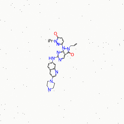 C=CCn1c(=O)c2cnc(Nc3ccc4cc(N5CCN(C)CC5)cnc4c3)nc2n1-c1ccc(=O)n(C(C)C)n1